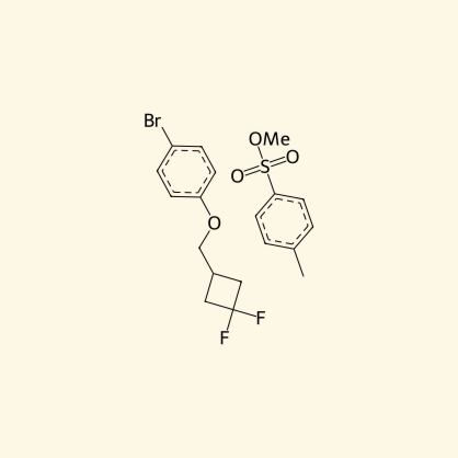 COS(=O)(=O)c1ccc(C)cc1.FC1(F)CC(COc2ccc(Br)cc2)C1